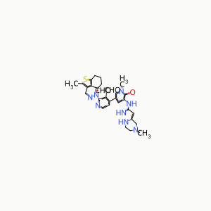 Cc1sc2c(c1/C=N\N(C=O)c1nccc(-c3cc(NC(=N)/C=C4/CN(C)CCN4)c(=O)n(C)c3)c1C=O)CCCC2